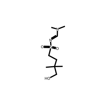 CN(C)C=NS(=O)(=O)CCC(C)(C)CO